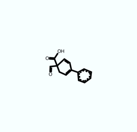 O=CC1(C(=O)O)C=CC(c2ccccc2)=CC1